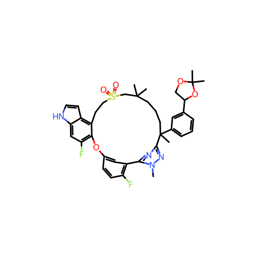 Cn1nc2nc1-c1cc(ccc1F)Oc1c(F)cc3[nH]ccc3c1CCS(=O)(=O)CC(C)(C)CCCC2(C)c1cccc(C2COC(C)(C)O2)c1